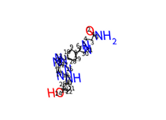 NC(=O)CCn1cc(-c2ccc(-n3nnc4cnc(N[C@@H]5CC[C@@H](O)C5)nc43)cc2)cn1